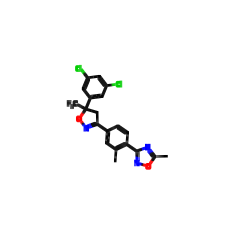 Cc1nc(-c2ccc(C3=NOC(c4cc(Cl)cc(Cl)c4)(C(F)(F)F)C3)cc2C)no1